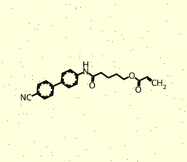 C=CC(=O)OCCCCC(=O)Nc1ccc(-c2ccc(C#N)cc2)cc1